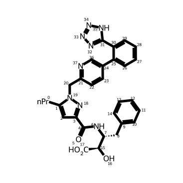 CCCc1cc(C(=O)N[C@H](Cc2ccccc2)[C@@H](O)C(=O)O)nn1Cc1ccc(-c2ccccc2-c2nnn[nH]2)cn1